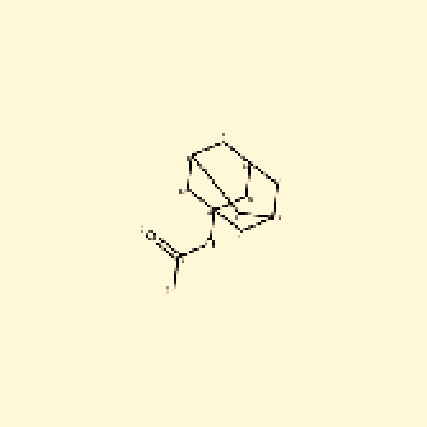 CC(=O)OC12CC3CC(CC(C3)C1)C2